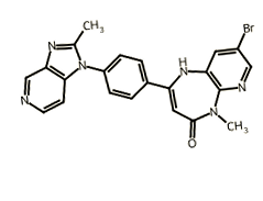 Cc1nc2cnccc2n1-c1ccc(C2=CC(=O)N(C)c3ncc(Br)cc3N2)cc1